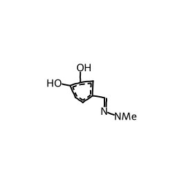 CN/N=C/c1ccc(O)c(O)c1